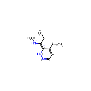 CCC1=CC=NN/C1=C(/CC)NC